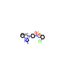 Cc1cc(N(C=O)c2ccc(N(Cc3ccccc3Cl)S(C)(=O)=O)cc2)n(-c2ccccc2)n1